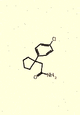 NC(=O)CC1(c2ccc(Cl)cc2)CCCC1